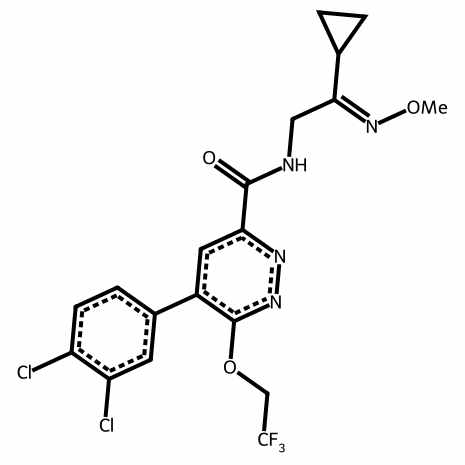 CON=C(CNC(=O)c1cc(-c2ccc(Cl)c(Cl)c2)c(OCC(F)(F)F)nn1)C1CC1